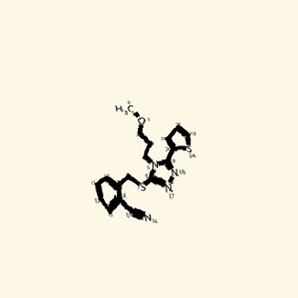 COCCCn1c(SCc2ccccc2C#N)nnc1-c1cccs1